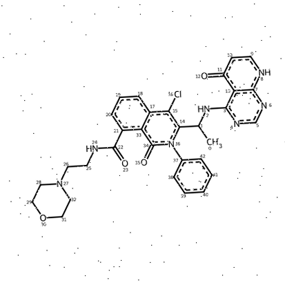 CC(Nc1ncnc2[nH]ccc(=O)c12)c1c(Cl)c2cccc(C(=O)NCCN3CCOCC3)c2c(=O)n1-c1ccccc1